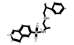 CC(CNCC(C)c1ccccc1)NS(=O)(=O)c1ccc2cnccc2c1